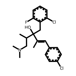 CC(=Cc1ccc(Cl)cc1)C(O)(Cc1c(F)cccc1Cl)C(C)CN(C)C